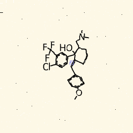 COc1ccc(/C=C2\CCCC(CN(C)C)C2(O)c2ccc(Cl)c(C(F)(F)F)c2)cc1